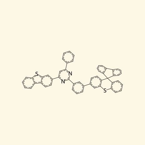 c1ccc(-c2cc(-c3ccc4c(c3)sc3ccccc34)nc(-c3cccc(-c4ccc5c(c4)Sc4ccccc4C54c5ccccc5-c5ccccc54)c3)n2)cc1